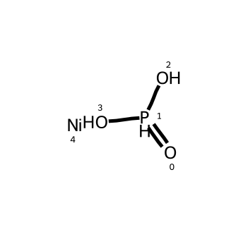 O=[PH](O)O.[Ni]